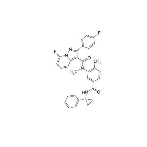 Cc1ccc(C(=O)NC2(c3ccccc3)CC2)cc1N(C)C(=O)c1c(-c2ccc(F)cc2)nn2c(F)cccc12